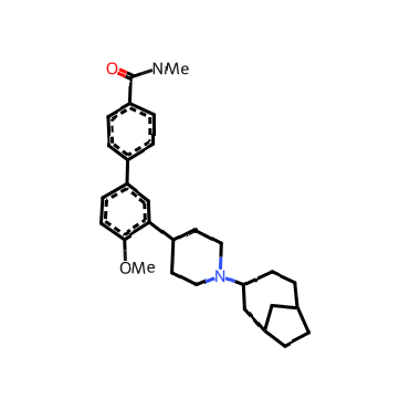 CNC(=O)c1ccc(-c2ccc(OC)c(C3CCN(C4CCC5CCC(C5)C4)CC3)c2)cc1